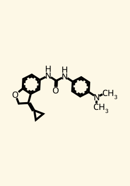 CN(C)c1ccc(NC(=O)Nc2ccc3c(c2)C(=C2CC2)CO3)cc1